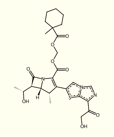 C[C@@H](O)[C@H]1C(=O)N2C(C(=O)OCOC(=O)C3(C)CCCCC3)=C(c3cn4cnc(C(=O)CO)c4s3)[C@H](C)[C@H]12